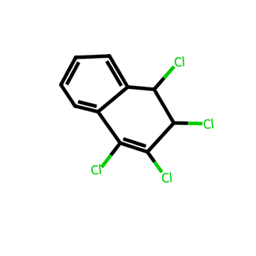 ClC1=C(Cl)C(Cl)C(Cl)c2ccccc21